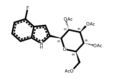 CC(=O)OC[C@H]1O[C@@H](c2cc3c(F)cccc3[nH]2)[C@H](OC(C)=O)[C@@H](OC(C)=O)[C@@H]1OC(C)=O